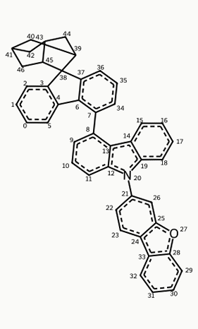 c1ccc2c(c1)-c1c(-c3cccc4c3c3ccccc3n4-c3ccc4c(c3)oc3ccccc34)cccc1C21C2CC3CC(C2)C1C3